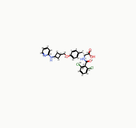 O=C(N[C@H](Cc1ccc(OCC2CC(Nc3ccccn3)C2)cc1)C(=O)O)c1c(Cl)cccc1Cl